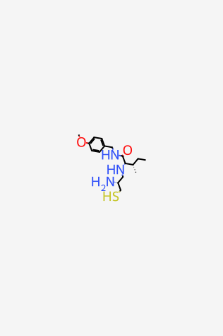 CC[C@H](C)[C@H](NC[C@@H](N)CS)C(=O)NCc1ccc(OC)cc1